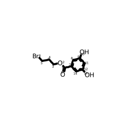 O=C(OCCCBr)c1cc(O)cc(O)c1